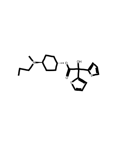 CCCN(C)[C@H]1CC[C@H](OC(=O)C(O)(c2cccs2)c2cccs2)CC1